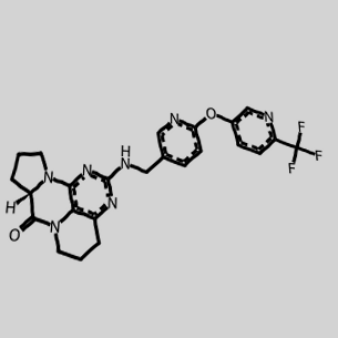 O=C1[C@@H]2CCCN2c2nc(NCc3ccc(Oc4ccc(C(F)(F)F)nc4)nc3)nc3c2N1CCC3